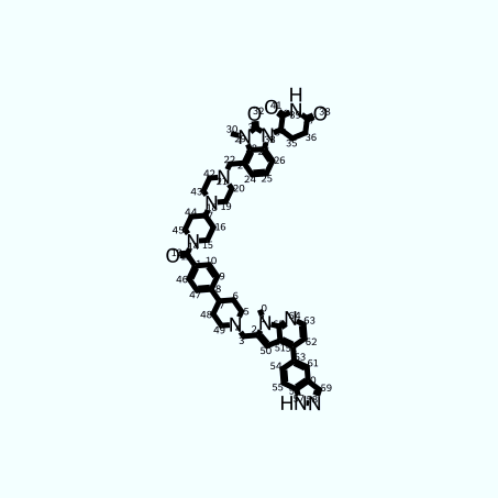 Cn1c(CN2CCC(c3ccc(C(=O)N4CCC(N5CCN(Cc6cccc7c6n(C)c(=O)n7C6CCC(=O)NC6=O)CC5)CC4)cc3)CC2)cc2c(-c3ccc4[nH]ncc4c3)ccnc21